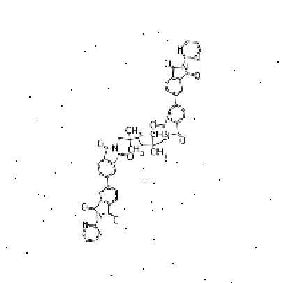 CC(C)(CCC(C)(C)CN1C(=O)c2ccc(-c3ccc4c(c3)C(=O)N(c3ncccn3)C4=O)cc2C1=O)CN1C(=O)c2ccc(-c3ccc4c(c3)C(=O)N(c3ncccn3)C4=O)cc2C1=O